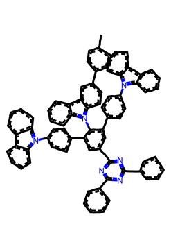 Cc1ccc(-c2ccc3c(c2)c2ccccc2n3-c2c(-c3ccc(-n4c5ccccc5c5ccccc54)cc3)cc(-c3nc(-c4ccccc4)nc(-c4ccccc4)n3)cc2-c2ccc(-n3c4ccccc4c4ccccc43)cc2)cc1